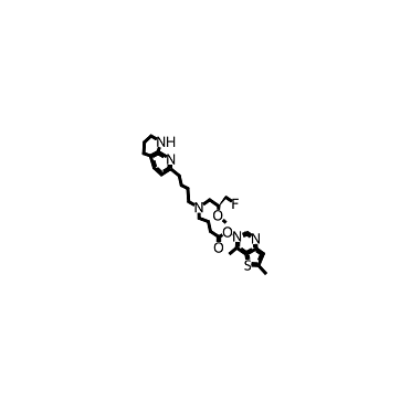 CO[C@H](CF)CN(CCCCc1ccc2c(n1)NCCC2)CCCC(=O)O[n+]1cnc2cc(C)sc2c1C